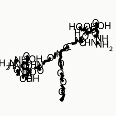 C#CCOCCOCCOCCOCCN(CCOCCCNC(=O)CO[C@H]([C@H](O)CO)[C@H]1C[C@@H](NC(=N)N)C=C(C(=O)O)O1)CCOCCCNC(=O)CO[C@@H]([C@@H]1OC(C(=O)O)=C[C@H](NC(=N)N)[C@H]1NC(C)=O)[C@H](O)CO